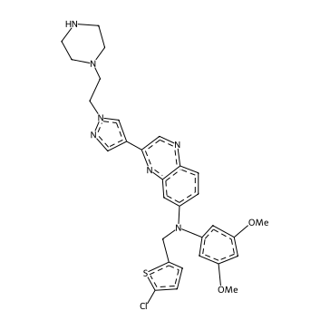 COc1cc(OC)cc(N(Cc2ccc(Cl)s2)c2ccc3ncc(-c4cnn(CCN5CCNCC5)c4)nc3c2)c1